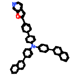 c1ccc2cc(-c3ccc(N(c4ccc(-c5ccc(-c6cc7ccncc7o6)cc5)cc4)c4ccc(-c5ccc6ccccc6c5)cc4)cc3)ccc2c1